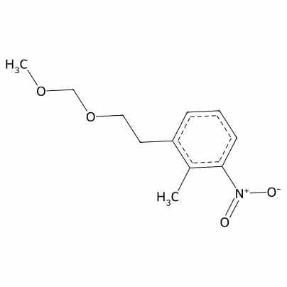 COCOCCc1cccc([N+](=O)[O-])c1C